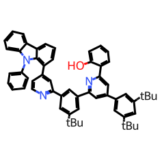 CC(C)(C)c1cc(-c2cc(-c3cccc4c5ccccc5n(-c5ccccc5)c34)ccn2)cc(-c2cc(-c3cc(C(C)(C)C)cc(C(C)(C)C)c3)cc(-c3ccccc3O)n2)c1